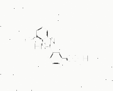 O=C(O)c1cccc(-c2nc3cccc(Cl)c3[nH]2)c1